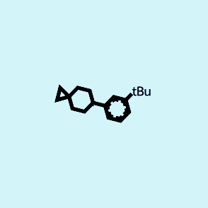 CC(C)(C)c1cccc([C]2CCC3(CC2)CC3)c1